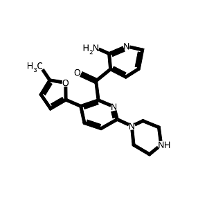 Cc1ccc(-c2ccc(N3CCNCC3)nc2C(=O)c2cccnc2N)o1